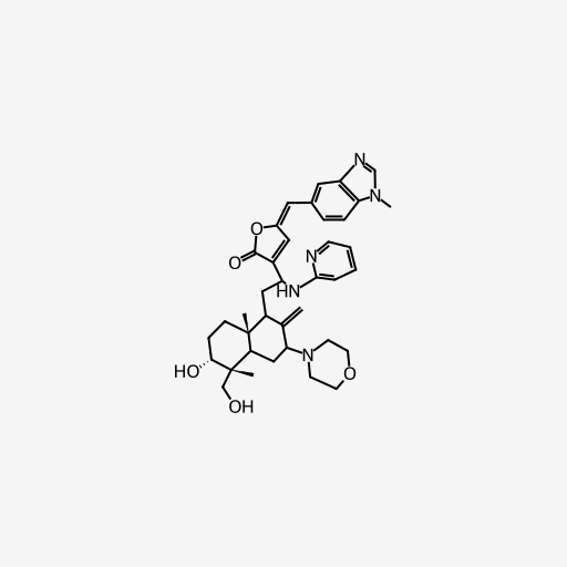 C=C1C(N2CCOCC2)CC2[C@](C)(CC[C@@H](O)[C@@]2(C)CO)C1CC(Nc1ccccn1)C1=C/C(=C\c2ccc3c(c2)ncn3C)OC1=O